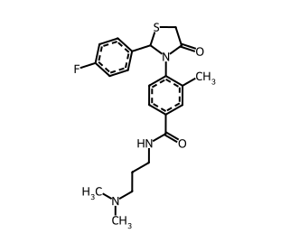 Cc1cc(C(=O)NCCCN(C)C)ccc1N1C(=O)CSC1c1ccc(F)cc1